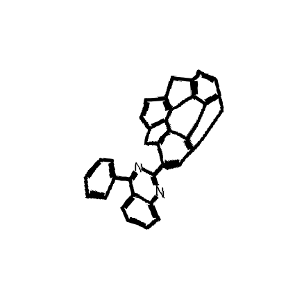 c1ccc(-c2nc(-c3cc4c5c6c(ccc7c6c6c(ccc8c6c5c3C8)C7)C4)nc3ccccc23)cc1